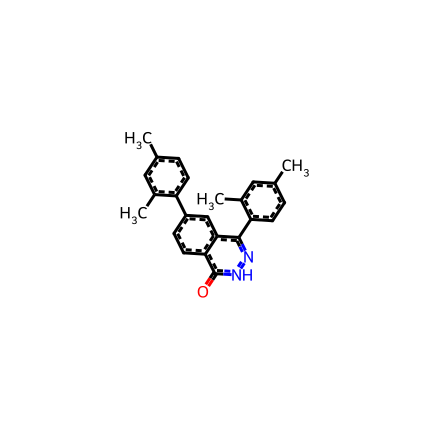 Cc1ccc(-c2ccc3c(=O)[nH]nc(-c4ccc(C)cc4C)c3c2)c(C)c1